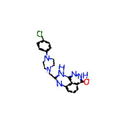 O=c1[nH]nc2c3c(cccc13)N=C(CN1CCN(c3ccc(Cl)cc3)CC1)N2